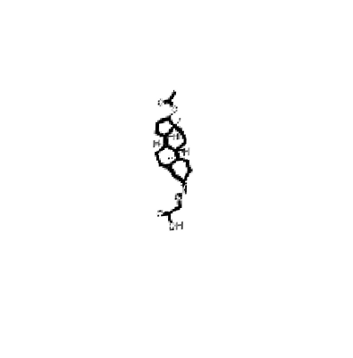 CC(=O)O[C@H]1CC[C@H]2[C@@H]3CCC4=CC(=NOCC(=O)O)CC[C@]4(C)[C@H]3CC[C@]12C